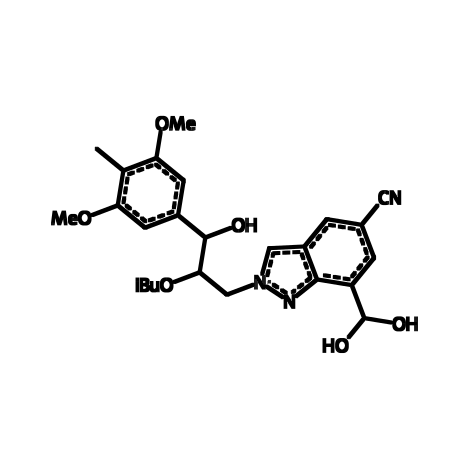 COc1cc(C(O)C(Cn2cc3cc(C#N)cc(C(O)O)c3n2)OCC(C)C)cc(OC)c1C